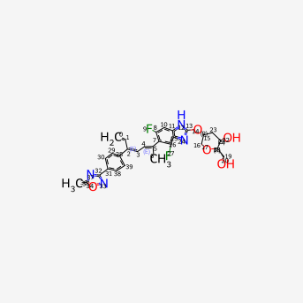 C=C/C(=C\C=C(/C)c1c(F)cc2[nH]c(O[C@H]3CO[C@H](CO)[C@@H](O)C3)nc2c1F)c1ccc(-c2noc(C)n2)cc1